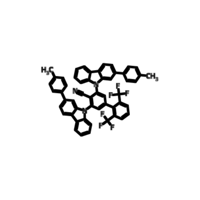 Cc1ccc(-c2ccc3c4ccccc4n(-c4cc(-c5c(C(F)(F)F)cccc5C(F)(F)F)cc(-n5c6ccccc6c6ccc(-c7ccc(C)cc7)cc65)c4C#N)c3c2)cc1